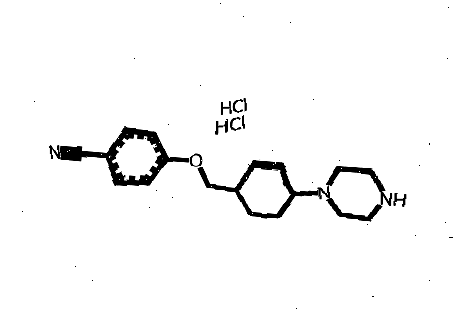 Cl.Cl.N#Cc1ccc(OCC2CCC(N3CCNCC3)CC2)cc1